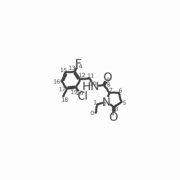 CCN1C(=O)CCC1C(=O)NCc1c(F)ccc(C)c1Cl